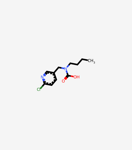 CCCCN(Cc1ccc(Cl)nc1)C(=O)O